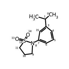 CC(C)c1cccc(N2CCCS2(=O)=O)c1